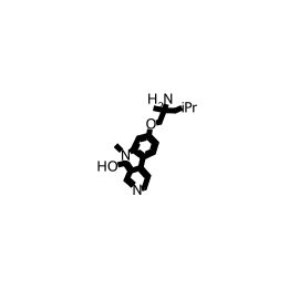 CC(C)CC(C)(N)COc1ccc2c(c1)N(C)C(O)=C1C=NCC=C12